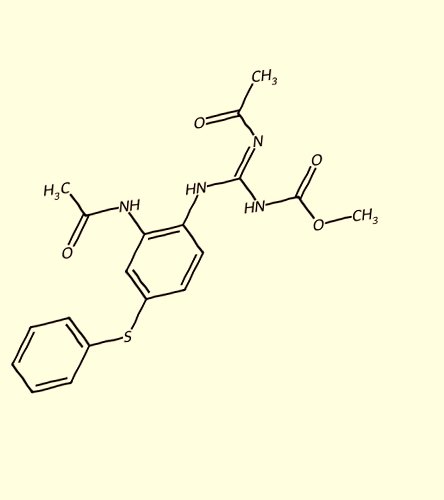 COC(=O)N/C(=N/C(C)=O)Nc1ccc(Sc2ccccc2)cc1NC(C)=O